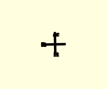 [CH2]C(=O)C(C)(CC)CC